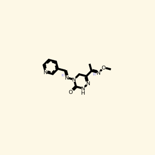 CO/N=C(\C)C1=NNC(=O)N(/N=C/c2cccnc2)C1